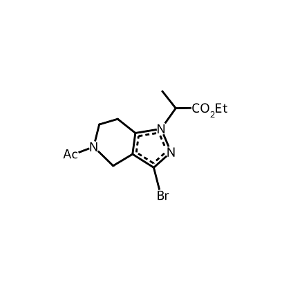 CCOC(=O)C(C)n1nc(Br)c2c1CCN(C(C)=O)C2